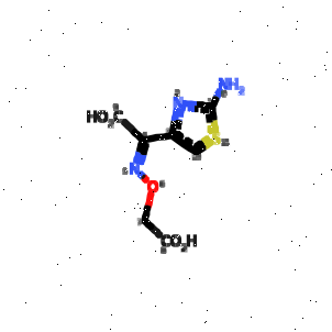 Nc1nc(/C(=N\OCC(=O)O)C(=O)O)cs1